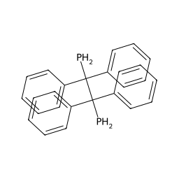 PC(c1ccccc1)(c1ccccc1)C(P)(c1ccccc1)c1ccccc1